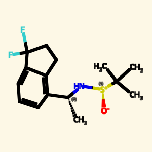 C[C@@H](N[S@+]([O-])C(C)(C)C)c1cccc2c1CCC2(F)F